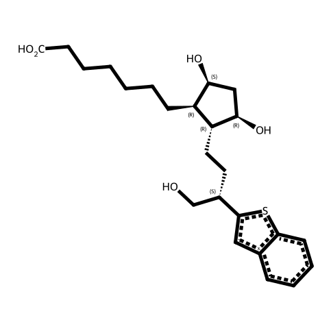 O=C(O)CCCCCC[C@@H]1[C@@H](CC[C@@H](CO)c2cc3ccccc3s2)[C@H](O)C[C@@H]1O